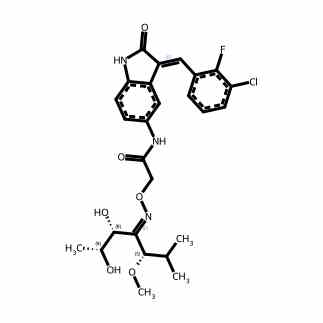 CO[C@H](/C(=N/OCC(=O)Nc1ccc2c(c1)/C(=C\c1cccc(Cl)c1F)C(=O)N2)[C@@H](O)[C@@H](C)O)C(C)C